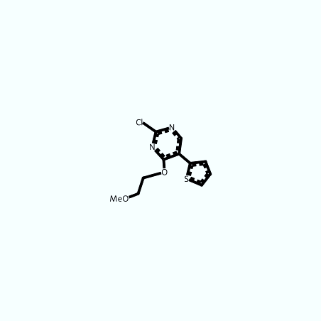 COCCOc1nc(Cl)ncc1-c1cccs1